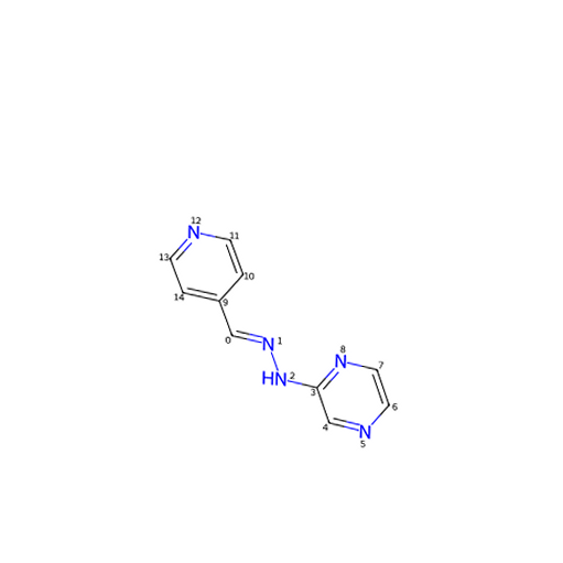 C(=NNc1cnccn1)c1ccncc1